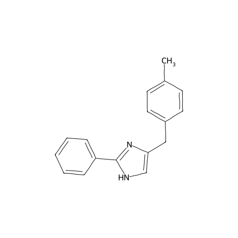 Cc1ccc(Cc2c[nH]c(-c3ccccc3)n2)cc1